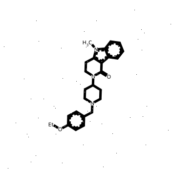 CCOc1ccc(CN2CCC(N3CCc4c(c5ccccc5n4C)C3=O)CC2)cc1